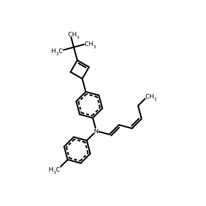 CC/C=C\C=CN(c1ccc(C)cc1)c1ccc(C2C=C(C(C)(C)C)C2)cc1